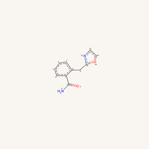 NC(=O)c1ccccc1[CH]c1ncco1